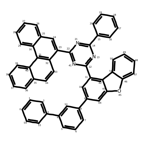 c1ccc(-c2cccc(-c3cc(-c4nc(-c5ccccc5)nc(-c5cc6ccccc6c6c5ccc5ccccc56)n4)c4c(c3)oc3ccccc34)c2)cc1